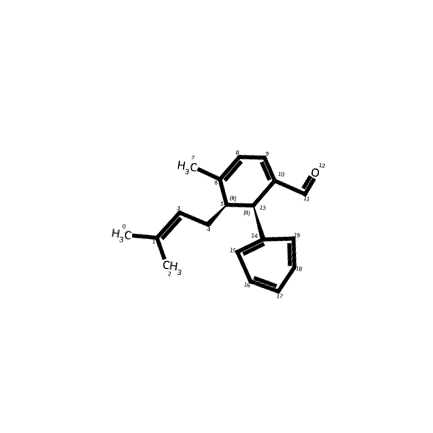 CC(C)=CC[C@H]1C(C)=CC=C(C=O)[C@H]1c1ccccc1